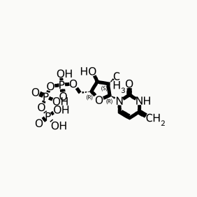 C=C1C=CN([C@@H]2O[C@H](COP(=O)(O)OP(=O)(O)OP(=O)(O)O)C(O)[C@@H]2C)C(=O)N1